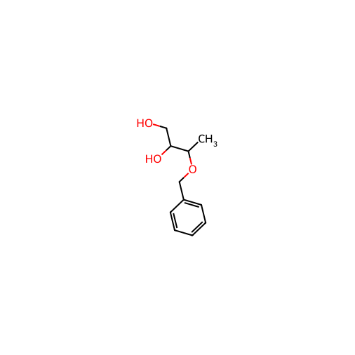 CC(OCc1ccccc1)C(O)CO